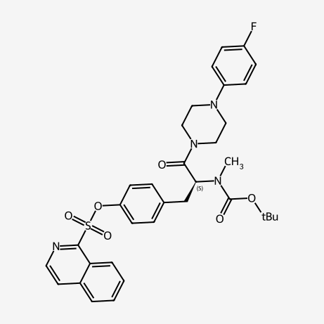 CN(C(=O)OC(C)(C)C)[C@@H](Cc1ccc(OS(=O)(=O)c2nccc3ccccc23)cc1)C(=O)N1CCN(c2ccc(F)cc2)CC1